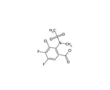 CN(c1c(C(=O)Cl)cc(F)c(F)c1Cl)S(C)(=O)=O